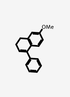 COc1ccc2c(c1)CCC=C2c1ccccc1